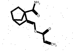 C=CC(=O)OC=C1CC2CCC1(C(N)=O)C2